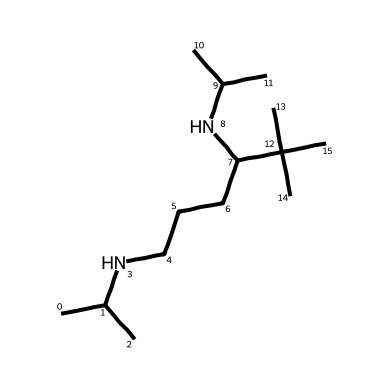 CC(C)NCCCC(NC(C)C)C(C)(C)C